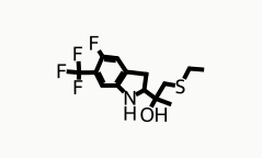 CCSCC(C)(O)C1Cc2cc(F)c(C(F)(F)F)cc2N1